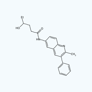 CCC(O)CCC(=O)Nc1ccc2nc(C)c(-c3ccccc3)cc2c1